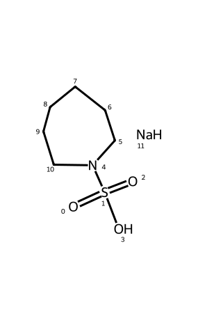 O=S(=O)(O)N1CCCCCC1.[NaH]